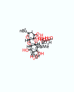 CCCC[C@@H]1CC(=O)[C@]2(O)O[C@@H]3[C@@H](NC)[C@@H](O)[C@@H](NC)[C@H](O)[C@H]3O[C@@H]2O1.O.O.O.O.O.O=S(=O)(O)O